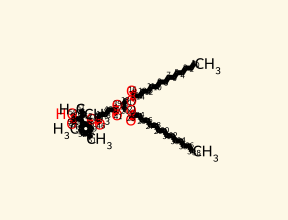 CCCCCCCCCCCCCCCC(=O)OCC(COC(=O)CCCCCCCCCCCCCCC)OC(=O)CCCC(=O)Oc1cc(C)cc(C)c1C(C(=O)O)C(C)C